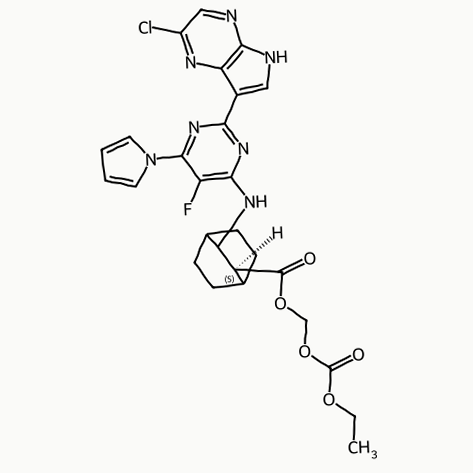 CCOC(=O)OCOC(=O)[C@H]1C2CCC(CC2)C1Nc1nc(-c2c[nH]c3ncc(Cl)nc23)nc(-n2cccc2)c1F